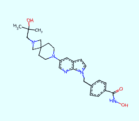 CC(C)(O)CN1CC2(CCN(c3cnc4c(ccn4Cc4ccc(C(=O)NO)cc4)c3)CC2)C1